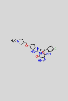 Cc1ccc(Cl)cc1NC(=O)c1nc[nH]c1C(=O)Nc1nc2ccc(OCC3CCN(C)CC3)cc2[nH]1